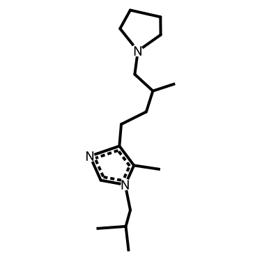 Cc1c(CCC(C)CN2CCCC2)ncn1CC(C)C